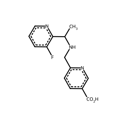 CC(NCc1ccc(C(=O)O)cn1)c1ncccc1F